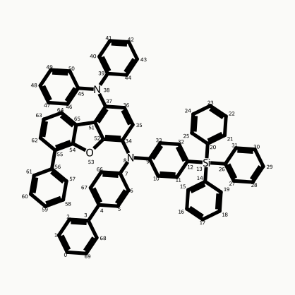 c1ccc(-c2ccc(N(c3ccc([Si](c4ccccc4)(c4ccccc4)c4ccccc4)cc3)c3ccc(N(c4ccccc4)c4ccccc4)c4c3oc3c(-c5ccccc5)cccc34)cc2)cc1